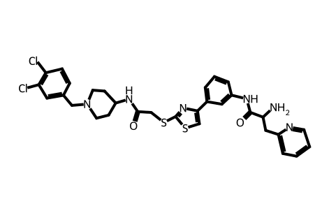 NC(Cc1ccccn1)C(=O)Nc1cccc(-c2csc(SCC(=O)NC3CCN(Cc4ccc(Cl)c(Cl)c4)CC3)n2)c1